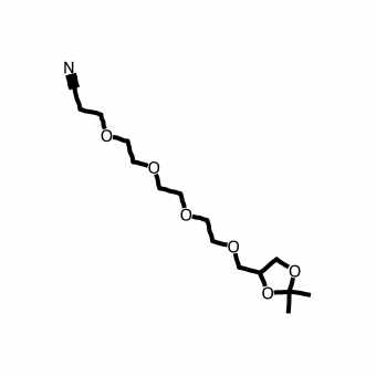 CC1(C)OCC(COCCOCCOCCOCCC#N)O1